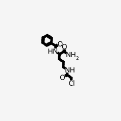 NC(=O)C(CCCNC(=O)CCl)NC(=O)c1ccccc1